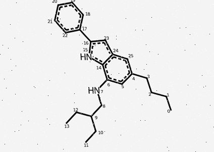 CCCCc1cc(NCC(CC)CC)c2[nH]c(-c3ccccc3)cc2c1